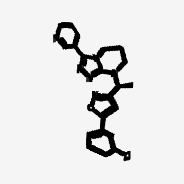 CC(c1cc(-c2cccc(Cl)c2)on1)N1CCCn2c(-c3cccnc3)nnc21